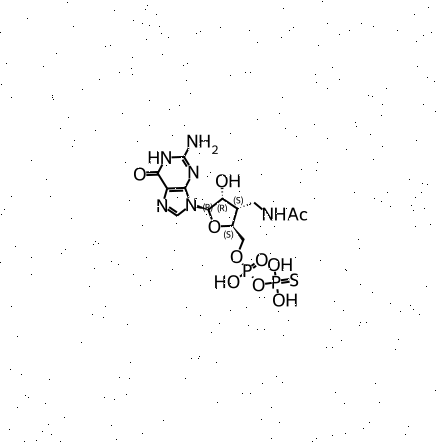 CC(=O)NC[C@H]1[C@@H](O)[C@H](n2cnc3c(=O)[nH]c(N)nc32)O[C@@H]1COP(=O)(O)OP(O)(O)=S